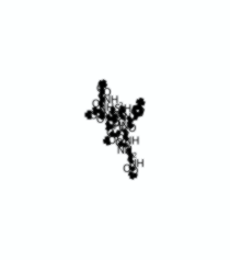 CC(C)C[C@@H](NC(=O)[C@@H](NC(=O)[C@@H](N)CC(=O)OC(C)(C)C)C(C)OC(C)(C)C)C(=O)N1C(C(=O)N[C@@H](Cc2ccc(C(C)(C)C)cc2)C(=O)N[C@@H](CCC(=O)OC(C)(C)C)CC(=O)N[C@H](CCCCNC(=O)OC(C)(C)C)C(N)=O)C(C)(C)SC1(C)C